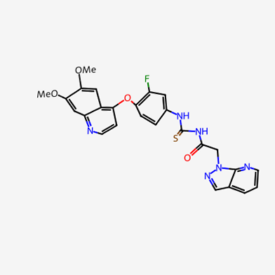 COc1cc2nccc(Oc3ccc(NC(=S)NC(=O)Cn4ncc5cccnc54)cc3F)c2cc1OC